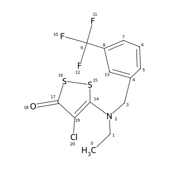 CCN(Cc1cccc(C(F)(F)F)c1)c1ssc(=O)c1Cl